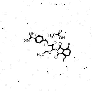 CC(=O)O.CCOC(C(=O)NCc1ccc(C(=N)N)cc1)N1C(=O)c2c(F)ccc(F)c2C1=O